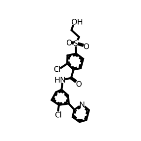 O=C(Nc1ccc(Cl)c(-c2ccccn2)c1)c1ccc(S(=O)(=O)CCO)cc1Cl